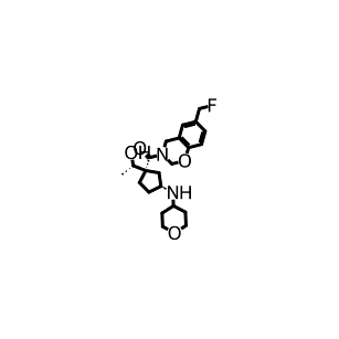 C[C@H](O)[C@]1(C(=O)N2COc3ccc(CF)cc3C2)CC[C@@H](NC2CCOCC2)C1